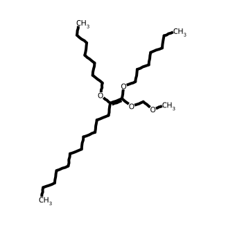 CCCCCCCCCCCC(OCCCCCCC)=C(OCCCCCCC)OCOC